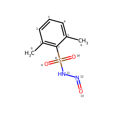 Cc1cccc(C)c1S(=O)(=O)NN=O